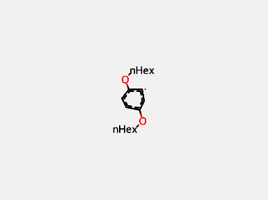 CCCCCCOc1[c]cc(OCCCCCC)cc1